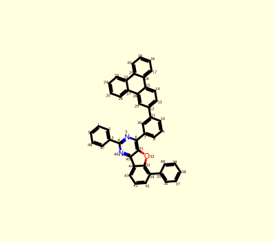 c1ccc(-c2nc(-c3cccc(-c4ccc5c6ccccc6c6ccccc6c5c4)c3)c3oc4c(-c5ccccc5)cccc4c3n2)cc1